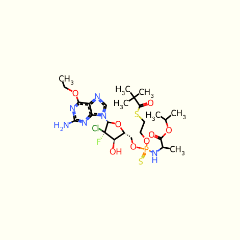 CCOc1nc(N)nc2c1ncn2[C@@H]1O[C@H](COP(=S)(NC(C)C(=O)OC(C)C)OCCSC(=O)C(C)(C)C)[C@@H](O)[C@@]1(F)Cl